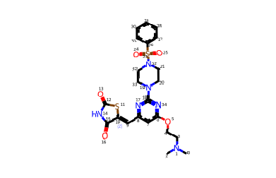 CN(C)CCOc1cc(/C=C2\SC(=O)NC2=O)nc(N2CCN(S(=O)(=O)c3ccccc3)CC2)n1